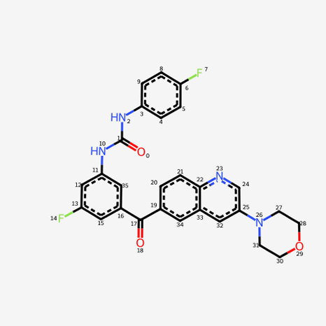 O=C(Nc1ccc(F)cc1)Nc1cc(F)cc(C(=O)c2ccc3ncc(N4CCOCC4)cc3c2)c1